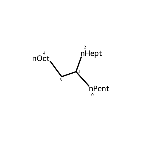 [CH2]CCCCC(CCCCCCC)CCCCCCCCC